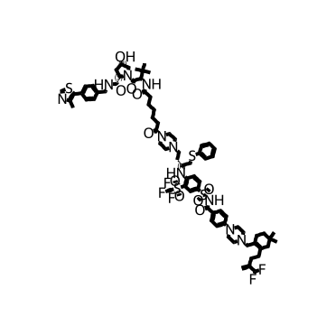 C=C(CCC1=C(CN2CCN(c3ccc(C(=O)NS(=O)(=O)c4ccc(N[C@H](CCN5CCN(C(=O)CCCCCC(=O)NC(C(=O)N6C[C@H](O)C[C@H]6C(=O)NCc6ccc(-c7scnc7C)cc6)C(C)(C)C)CC5)CSc5ccccc5)c(S(=O)(=O)C(F)(F)F)c4)cc3)CC2)CCC(C)(C)C1)C(F)F